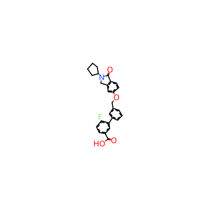 O=C(O)c1ccc(F)c(-c2cccc(COc3ccc4c(c3)CN(C3CCCC3)C4=O)c2)c1